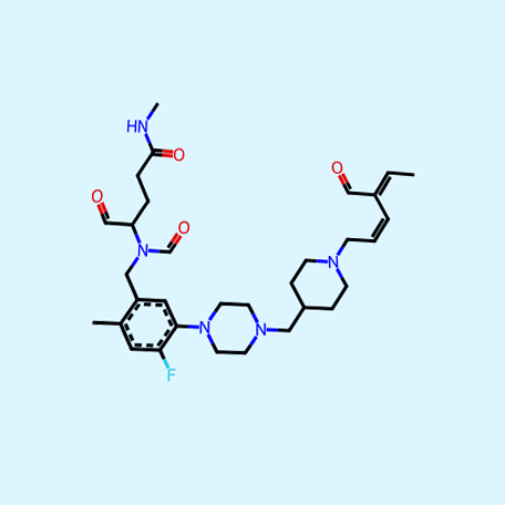 C/C=C(C=O)\C=C/CN1CCC(CN2CCN(c3cc(CN(C=O)C(C=O)CCC(=O)NC)c(C)cc3F)CC2)CC1